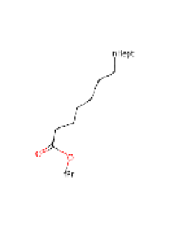 CCCCCCCCCCCCCC(=O)OCCC